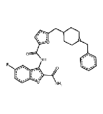 NC(=O)c1oc2ccc(F)cc2c1NC(=O)c1ccc(CC2CCN(Cc3ccccc3)CC2)o1